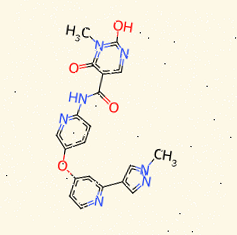 Cn1cc(-c2cc(Oc3ccc(NC(=O)c4cnc(O)n(C)c4=O)nc3)ccn2)cn1